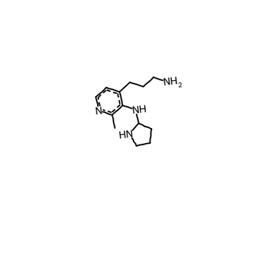 Cc1nccc(CCCN)c1NC1CCCN1